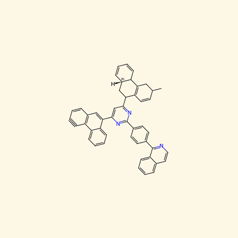 CC1C=CC2=C(C1)C1C=CC=C[C@H]1CC2c1cc(-c2cc3ccc#cc3c3ccccc23)nc(-c2ccc(-c3nccc4ccccc34)cc2)n1